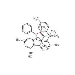 Cl.Cl.[CH2]=[Zr]([CH3])([C]1=C(C)C(c2ccccc2)=CC1C)([c]1ccc(C)cc1)[c]1c(C(C)(C)C)ccc2c1Cc1cc(C(C)(C)C)ccc1-2